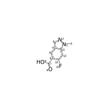 Cn1ncc2cc(C(=O)O)c(F)cc21